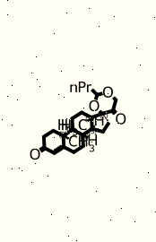 CCCC1OCC(=O)[C@]2(CC[C@H]3[C@@H]4CCC5=CC(=O)CC[C@]5(C)[C@H]4CC[C@@]32C)O1